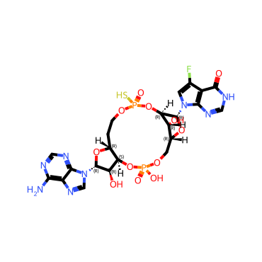 Nc1ncnc2c1ncn2[C@@H]1O[C@@H]2CCOP(=O)(S)O[C@@H]3[C@H](O)[C@@H](COP(=O)(O)O[C@H]2[C@H]1O)O[C@H]3n1cc(F)c2c(=O)[nH]cnc21